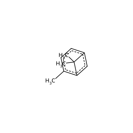 Cc1ccc2cc1C2(C)C